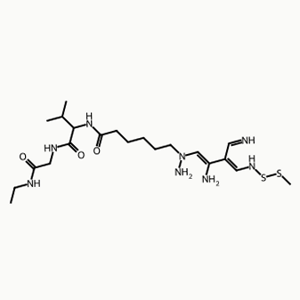 CCNC(=O)CNC(=O)C(NC(=O)CCCCCN(N)/C=C(N)/C(C=N)=C/NSSC)C(C)C